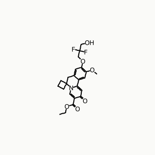 CCOC(=O)c1cn2c(cc1=O)-c1cc(OC)c(OCC(F)(F)CO)cc1CC21CCC1